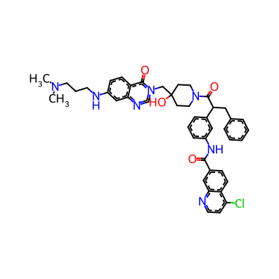 CN(C)CCCNc1ccc2c(=O)n(CC3(O)CCN(C(=O)C(Cc4ccccc4)c4cccc(NC(=O)c5ccc6c(Cl)ccnc6c5)c4)CC3)cnc2c1